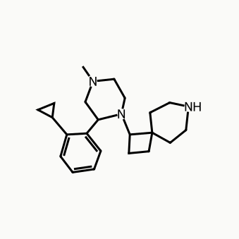 CN1CCN(C2CCC23CCNCC3)C(c2ccccc2C2CC2)C1